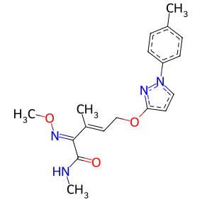 CNC(=O)C(=N/OC)/C(C)=C/COc1ccn(-c2ccc(C)cc2)n1